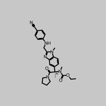 CCOC(=O)N(C)[C@@](C)(C(=O)N1CCCC1)c1ccc2c(c1)nc(CNc1ccc(C#N)cc1)n2C